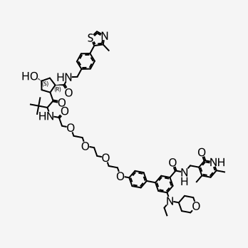 CCN(c1cc(C(=O)NCc2c(C)cc(C)[nH]c2=O)cc(-c2ccc(OCCOCCOCCOCC(=O)NC(C(=O)C3C[C@H](O)C[C@H]3C(=O)NCc3ccc(-c4scnc4C)cc3)C(C)(C)C)cc2)c1)C1CCOCC1